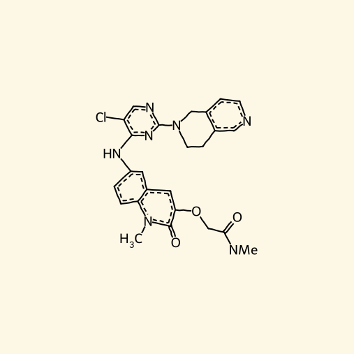 CNC(=O)COc1cc2cc(Nc3nc(N4CCc5cnccc5C4)ncc3Cl)ccc2n(C)c1=O